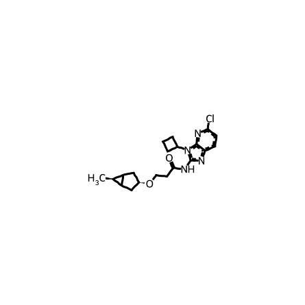 C[C@H]1C2C[C@H](OCCC(=O)Nc3nc4ccc(Cl)nc4n3C3CCC3)CC21